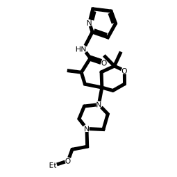 CCOCCN1CCN(C2(CC(C)C(=O)Nc3ccccn3)CCOC(C)(C)C2)CC1